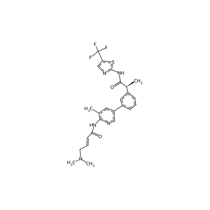 Cc1cc(-c2cccc([C@H](C)C(=O)Nc3ncc(C(F)(F)F)s3)c2)cnc1NC(=O)/C=C/CN(C)C